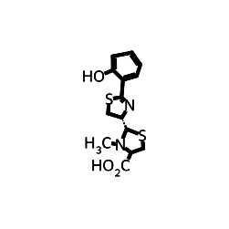 CN1C(C(=O)O)CSC1[C@@H]1CSC(c2ccccc2O)=N1